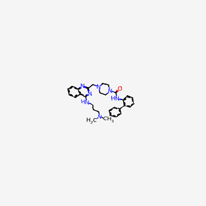 CN(C)CCCNc1nc(CN2CCN(C(=O)Nc3ccccc3-c3ccccc3)CC2)nc2ccccc12